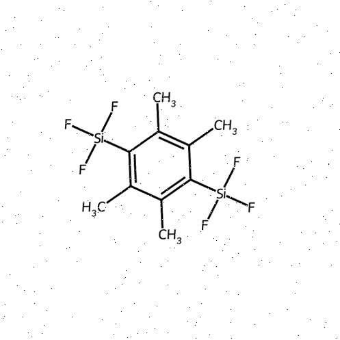 Cc1c(C)c([Si](F)(F)F)c(C)c(C)c1[Si](F)(F)F